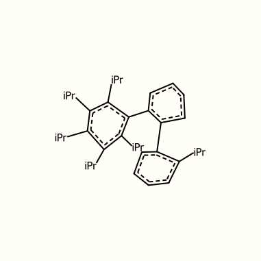 CC(C)c1ccccc1-c1ccccc1-c1c(C(C)C)c(C(C)C)c(C(C)C)c(C(C)C)c1C(C)C